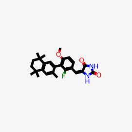 COc1ccc(C=C2NC(=O)NC2=O)c(F)c1-c1cc2c(cc1C)C(C)(C)CCC2(C)C